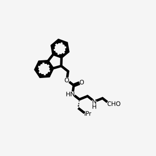 CC(C)C[C@@H](CNCC=O)NC(=O)OCC1c2ccccc2-c2ccccc21